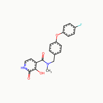 CN(Cc1ccc(Oc2ccc(F)cc2)cc1)C(=O)c1cc[nH]c(=O)c1O